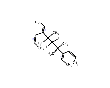 C/C=C\C(=C/C)C(C)(C)C(F)(F)C(C)(C)C(/C=C\C)=C/C